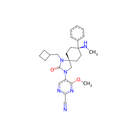 CN[C@]1(c2ccccc2)CC[C@@]2(CC1)CN(c1cnc(C#N)nc1OC)C(=O)N2CC1CCC1